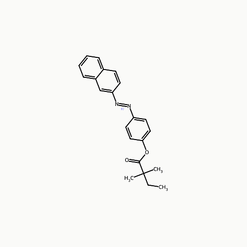 CCC(C)(C)C(=O)Oc1ccc(/N=N/c2ccc3ccccc3c2)cc1